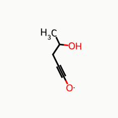 CC(O)CC#C[O]